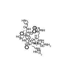 CC(C)C[C@H](NC(=O)[C@H](Cc1ccc2ccccc2c1)NC(=O)[C@H](Cc1ccc(O)cc1)NC(=O)CN1CCNCC1)C(=O)N[C@@H](Cc1ccccc1)C(=O)N[C@@H](CCCNC(=N)N)C(=O)N[C@@H](C)C(=O)N[C@@H](CCCNC(=N)N)C(=O)N[C@@H](CC(N)=O)C(N)=O